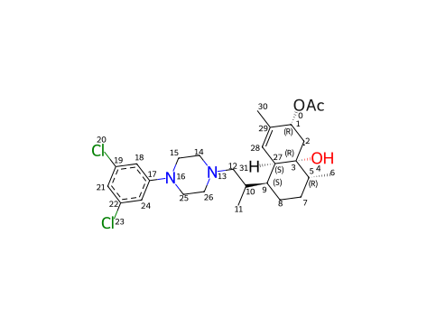 CC(=O)O[C@@H]1[CH][C@@]2(O)[C@H](C)CC[C@@H](C(C)CN3CCN(c4cc(Cl)cc(Cl)c4)CC3)[C@H]2C=C1C